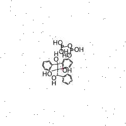 OCC(CO)(C(O)c1ccccc1)C(O)(c1ccccc1)c1ccccc1.OP(O)OP(O)O